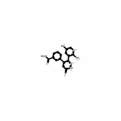 CNC(=O)c1cccc(-c2cc(=O)[nH]nc2-c2cc(Br)cnc2N)c1